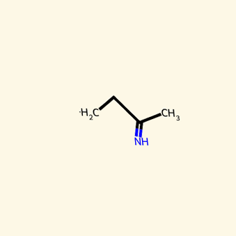 [CH2]CC(C)=N